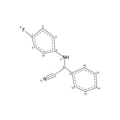 N#CC(Nc1ccc(F)cc1)c1ccccc1